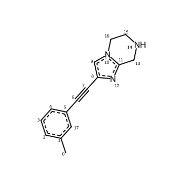 Cc1cccc(C#Cc2cn3c(n2)CNCC3)c1